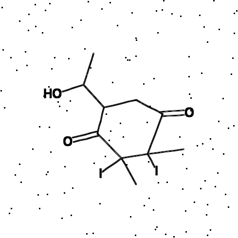 CC(O)C1CC(=O)C(C)(I)C(C)(I)C1=O